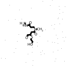 CN(CCC(=O)NN)C(=O)CC(C=O)SCCO